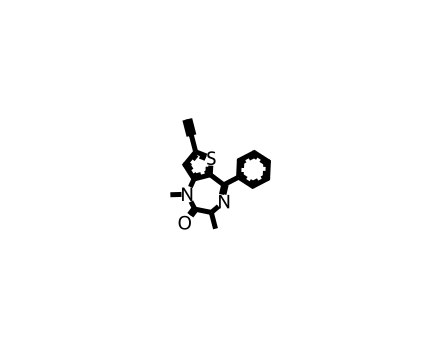 C#Cc1cc2c(s1)C(c1ccccc1)=NC(C)C(=O)N2C